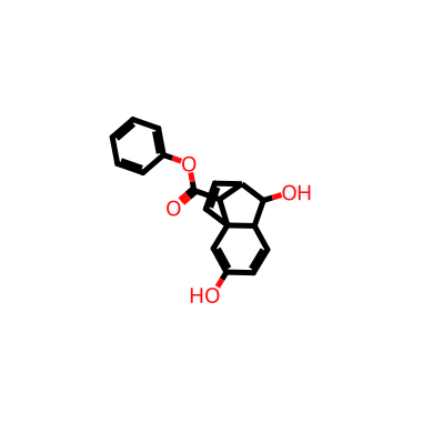 O=C(Oc1ccccc1)C1C2C=CC13C=C(O)C=CC3C2O